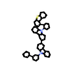 c1ccc(-c2cccc(-n3c4ccccc4c4cc(-c5ccc6c(c5)c5ccccc5n6-c5ccccc5-c5cccc6sc7ccccc7c56)ccc43)c2)cc1